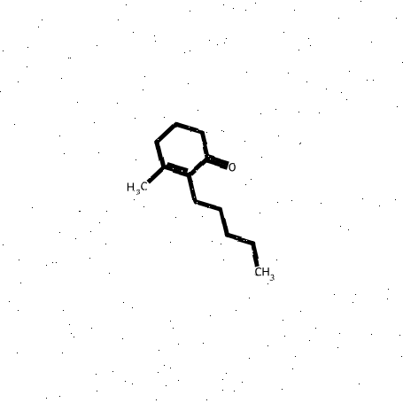 CCCCCC1=C(C)CCCC1=O